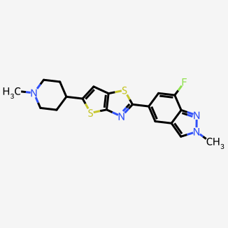 CN1CCC(c2cc3sc(-c4cc(F)c5nn(C)cc5c4)nc3s2)CC1